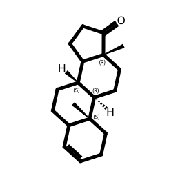 C[C@@]12CC[C@@H]3[C@H](CCC4C=CCC[C@]43C)C1CCC2=O